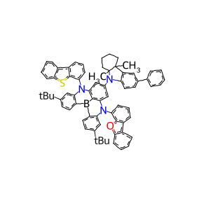 CC(C)(C)c1ccc2c(c1)N(c1cccc3c1oc1ccccc13)c1cc(N3c4ccc(-c5ccccc5)cc4C4(C)CCCCC34C)cc3c1B2c1ccc(C(C)(C)C)cc1N3c1cccc2c1sc1ccccc12